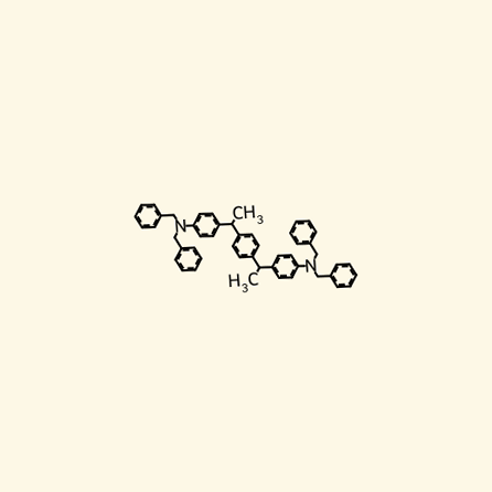 CC(c1ccc(C(C)c2ccc(N(Cc3ccccc3)Cc3ccccc3)cc2)cc1)c1ccc(N(Cc2ccccc2)Cc2ccccc2)cc1